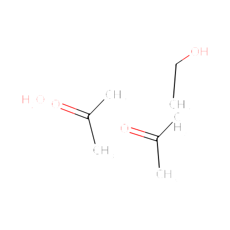 CC(C)=O.CC(C)=O.CCO.O